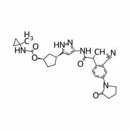 CC(C(=O)Nc1cc([C@H]2CC[C@@H](OC(=O)NC3(C)CC3)C2)[nH]n1)c1ccc(N2CCCC2=O)cc1C#N